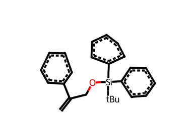 C=C(CO[Si](c1ccccc1)(c1ccccc1)C(C)(C)C)c1ccccc1